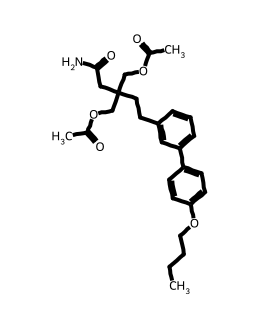 CCCCOc1ccc(-c2cccc(CCC(COC(C)=O)(COC(C)=O)CC(N)=O)c2)cc1